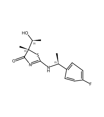 C[C@H](NC1=NC(=O)[C@](C)([C@H](C)O)S1)c1ccc(F)cc1